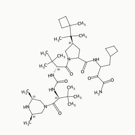 C[C@@H]1CN(C(=O)[C@@H](NC(=O)N[C@@H](C(=O)N2C[C@@H](C(C)(C)C3(C)CCC3)CC2C(=O)NC(CC2CCC2)C(=O)C(N)=O)C(C)(C)C)C(C)(C)C)C[C@H](C)N1